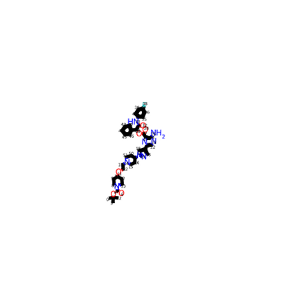 CC(C)(C)OC(=O)N1CCC(OCCN2CCC(n3cc(-c4cnc(N)c(C(=O)O[C@@H](C(=O)Nc5ccc(F)cc5)c5ccccc5)n4)cn3)CC2)CC1